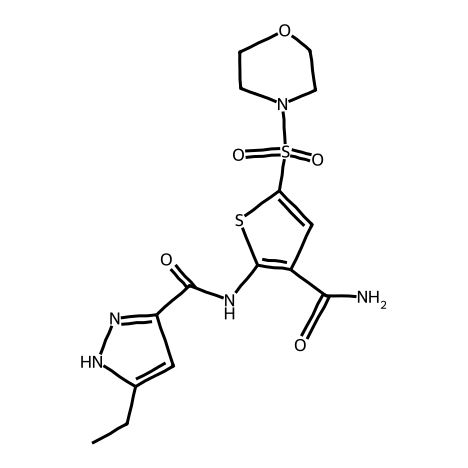 CCc1cc(C(=O)Nc2sc(S(=O)(=O)N3CCOCC3)cc2C(N)=O)n[nH]1